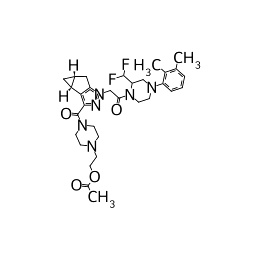 CC(=O)OCCN1CCN(C(=O)c2nn(CC(=O)N3CCN(c4cccc(C)c4C)CC3C(F)F)c3c2[C@@H]2C[C@@H]2C3)CC1